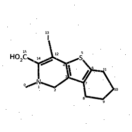 CN1Cc2c(sc3c2CCCC3)C(I)=C1C(=O)O